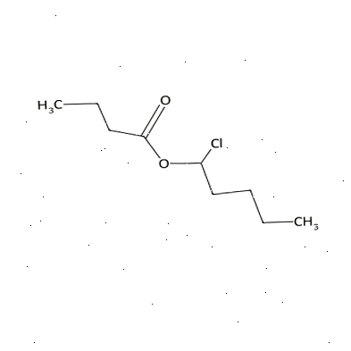 CCCCC(Cl)OC(=O)CCC